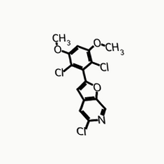 COc1cc(OC)c(Cl)c(-c2cc3cc(Cl)ncc3o2)c1Cl